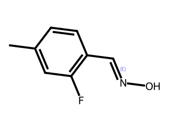 Cc1ccc(/C=N/O)c(F)c1